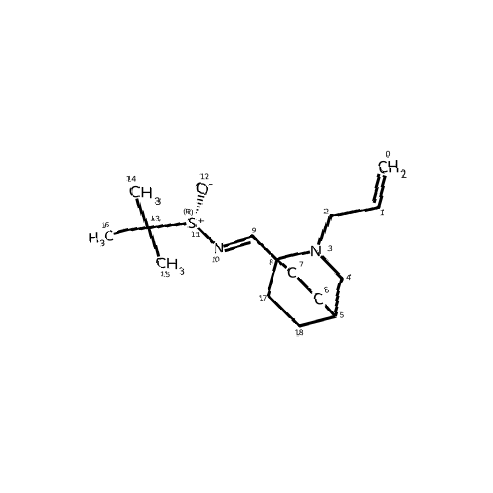 C=CCN1CC2CCC1(C=N[S@@+]([O-])C(C)(C)C)CC2